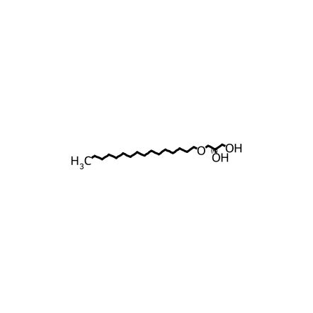 CCCCCCCCCCCCCCCCOC[C@H](O)CO